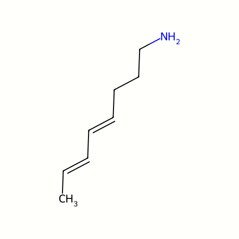 CC=CC=CCCCN